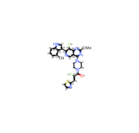 COc1nc(N2CCN(C(=O)/C(F)=C/c3nccs3)CC2)c2cnc(-c3c[nH]c4cccc(C#N)c34)c(F)c2n1